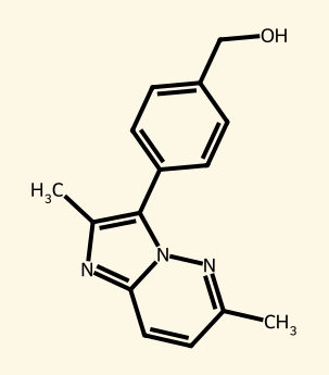 Cc1ccc2nc(C)c(-c3ccc(CO)cc3)n2n1